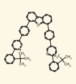 CC(C)(C)c1ccccc1-c1ccc(-c2ccc(-c3cccc4c3oc3c(-c5ccc(-c6ccc(-c7ccccc7C(C)(C)C)nc6)cc5)cccc34)cc2)cn1